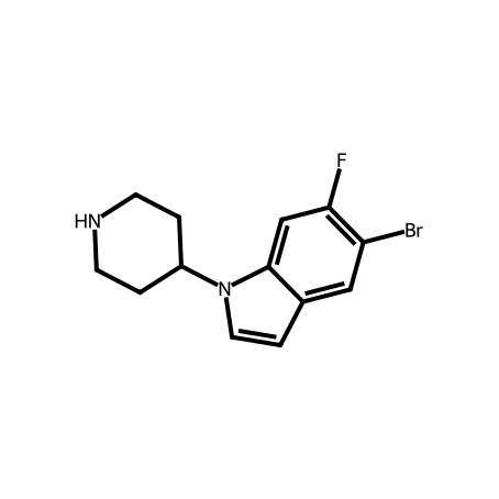 Fc1cc2c(ccn2C2CCNCC2)cc1Br